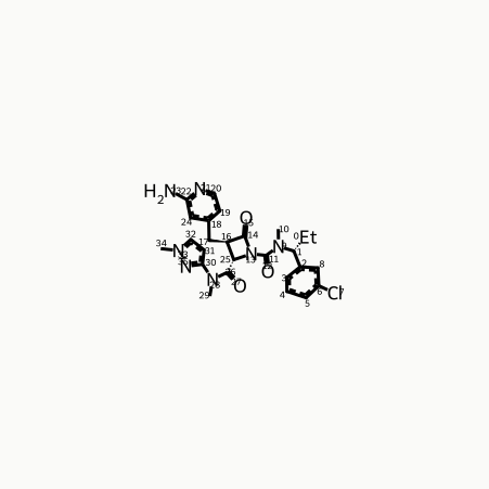 CC[C@H](c1cccc(Cl)c1)N(C)C(=O)N1C(=O)[C@H](Cc2ccnc(N)c2)[C@H]1C(=O)N(C)c1ccn(C)n1